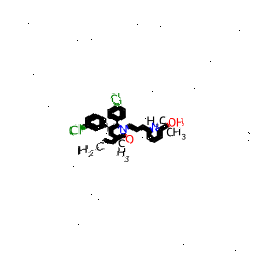 C=CC[C@@]1(C)C[C@H](c2cccc(Cl)c2)[C@@H](c2ccc(Cl)cc2)N(CCCc2cccc(C(C)(C)O)n2)C1=O